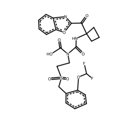 O=C(O)N(CCS(=O)(=O)Cc1ccccc1OC(F)F)C(=O)NC1(C(=O)c2nc3ccccc3o2)CCC1